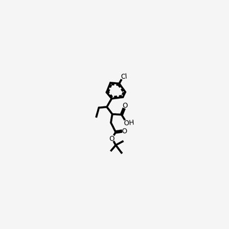 CCC(c1ccc(Cl)cc1)C(CC(=O)OC(C)(C)C)C(=O)O